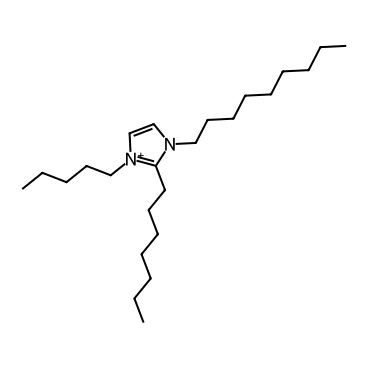 CCCCCCCCCn1cc[n+](CCCCC)c1CCCCCCC